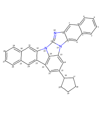 c1ccc2cc3c(cc2c1)nc1n3c2cc(C3CCCC3)cc3c4cc5ccccc5cc4n1c32